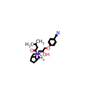 CC(C)CC(=O)N(C)C1C2CCC1CN(CC(O)COc1ccc(C#N)cc1)C2